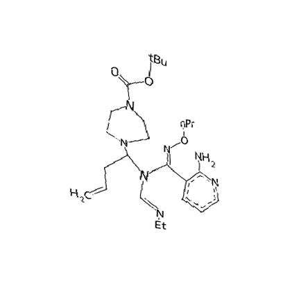 C=CCC(N1CCN(C(=O)OC(C)(C)C)CC1)N(/C=N/CC)C(=NOCCC)c1cccnc1N